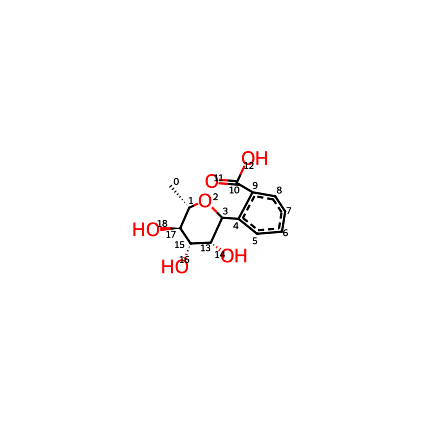 C[C@@H]1OC(c2ccccc2C(=O)O)[C@H](O)[C@H](O)[C@H]1O